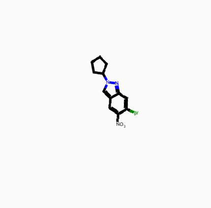 O=[N+]([O-])c1cc2cn(C3CCCC3)nc2cc1Br